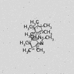 Cc1c(C)c(C)c(-n2c(C)nc3c(C)c(C)c(C)c(C)c32)c(C)c1C